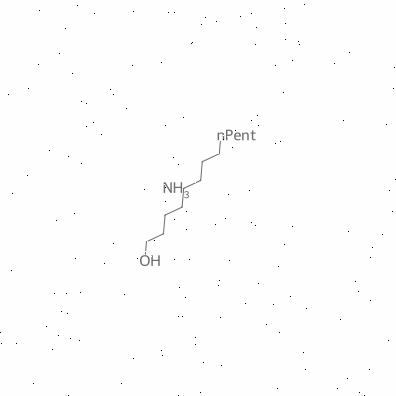 CCCCCCCCCCCCCO.N